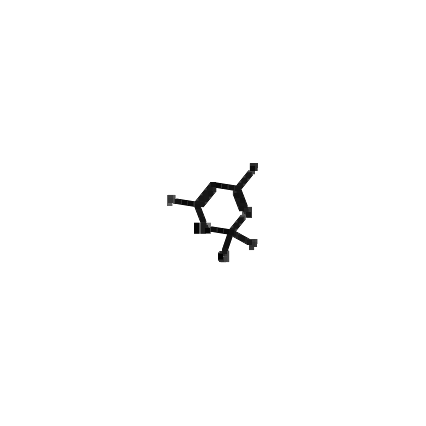 FC1=CC(F)=NC(F)(Cl)N1